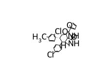 Cc1ccc([C@@H]2CC[C@@]3(NC(=O)c4ccco4)C(=O)NC[C@H]3[C@H]2c2ccc(Cl)cc2)c(Cl)c1